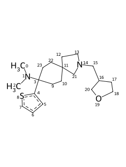 CN(C)C1(c2cccs2)CCC2(CCN(CC3CCOC3)C2)CC1